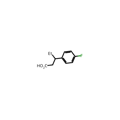 CCC(CC(=O)O)c1ccc(F)cc1